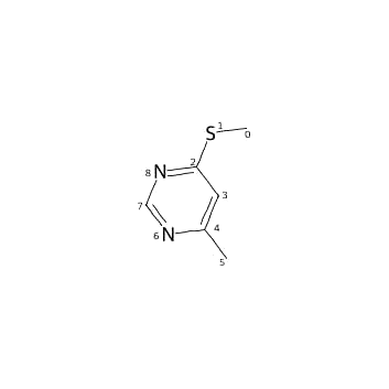 CSc1cc(C)ncn1